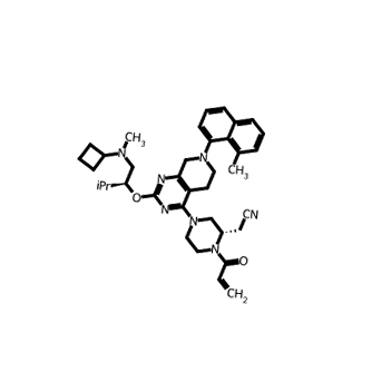 C=CC(=O)N1CCN(c2nc(O[C@H](CN(C)C3CCC3)C(C)C)nc3c2CCN(c2cccc4cccc(C)c24)C3)C[C@@H]1CC#N